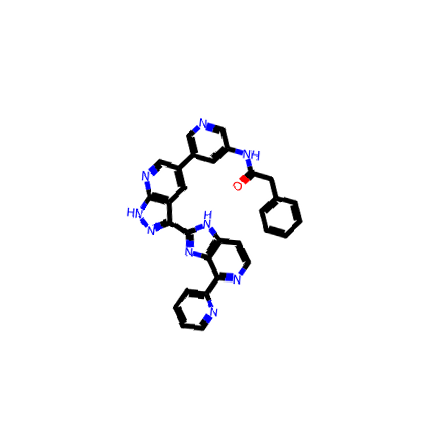 O=C(Cc1ccccc1)Nc1cncc(-c2cnc3[nH]nc(-c4nc5c(-c6ccccn6)nccc5[nH]4)c3c2)c1